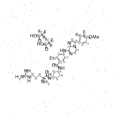 CCc1cc(Nc2nccn3c(-c4ccc(OC)c(F)c4F)cnc23)ccc1C(=O)NC1CCC(NC(=O)[C@H](N)CCCNC(=N)N)C1.O=C(O)C(F)(F)F.O=C(O)C(F)(F)F